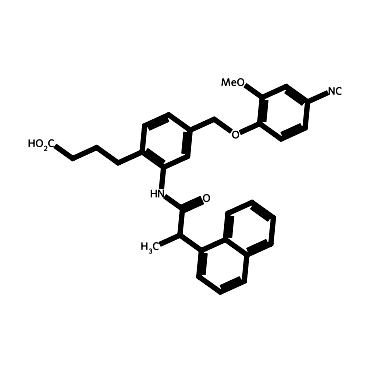 [C-]#[N+]c1ccc(OCc2ccc(CCCC(=O)O)c(NC(=O)C(C)c3cccc4ccccc34)c2)c(OC)c1